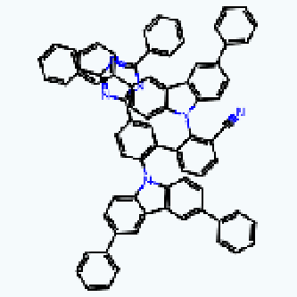 N#Cc1cccc(-c2cc(-c3nc(-c4ccccc4)nc(-c4ccccc4)n3)ccc2-n2c3ccc(-c4ccccc4)cc3c3cc(-c4ccccc4)ccc32)c1-n1c2ccc(-c3ccccc3)cc2c2cc(-c3ccccc3)ccc21